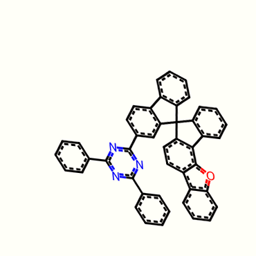 c1ccc(-c2nc(-c3ccccc3)nc(-c3ccc4c(c3)C3(c5ccccc5-4)c4ccccc4-c4c3ccc3c4oc4ccccc43)n2)cc1